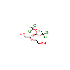 O=C(OC(Cl)(Cl)Cl)OC(Cl)(Cl)Cl.OCCOCCO